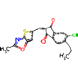 CCc1cc2c(cc1Cl)C(=O)/C(=C/c1cc3oc(C)nc3s1)C2=O